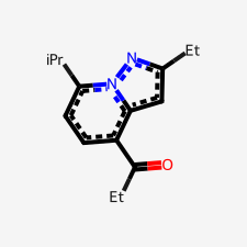 CCC(=O)c1ccc(C(C)C)n2nc(CC)cc12